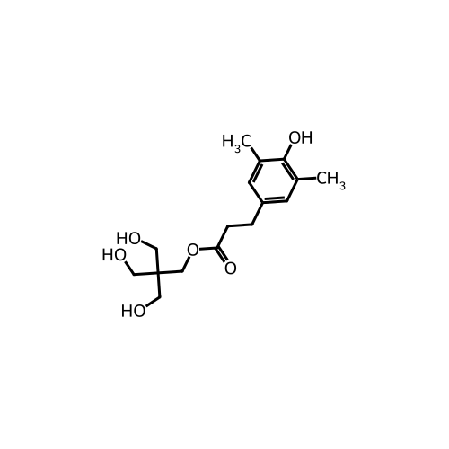 Cc1cc(CCC(=O)OCC(CO)(CO)CO)cc(C)c1O